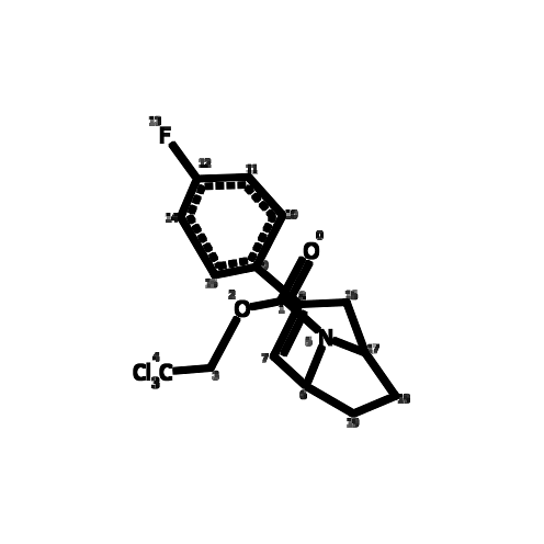 O=C(OCC(Cl)(Cl)Cl)N1C2C=C(c3ccc(F)cc3)CC1CC2